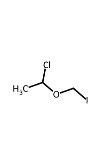 CC(Cl)OCI